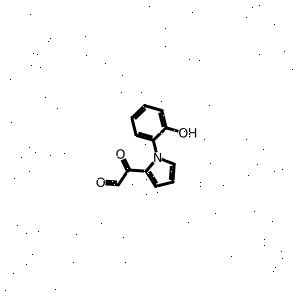 O=CC(=O)c1cccn1-c1ccccc1O